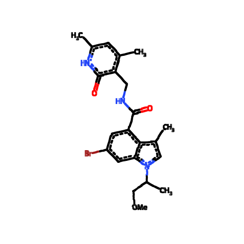 COCC(C)n1cc(C)c2c(C(=O)NCc3c(C)cc(C)[nH]c3=O)cc(Br)cc21